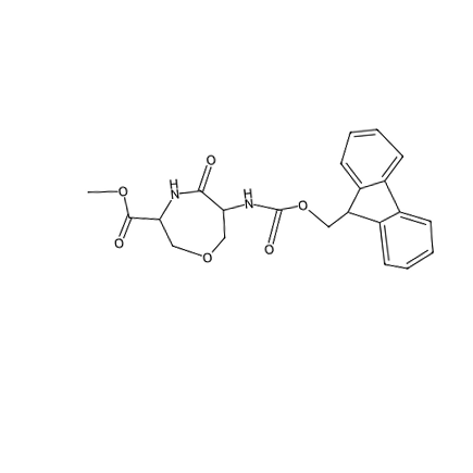 COC(=O)C1COCC(NC(=O)OCC2c3ccccc3-c3ccccc32)C(=O)N1